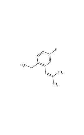 CCc1ccc(F)cc1C=C(C)C